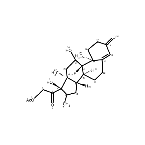 CC(=O)OCC(=O)[C@@]1(O)C(C)C[C@H]2[C@@H]3CCC4=CC(=O)CC[C@]4(C)[C@@]3(F)C(O)C[C@@]21C